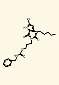 CCCCCn1c(=O)n(CCCOC(=O)NCc2ccccc2)c(=O)c2[nH]c(Cl)nc21